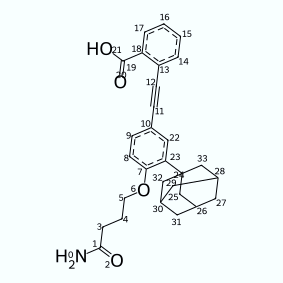 NC(=O)CCCOc1ccc(C#Cc2ccccc2C(=O)O)cc1C12CC3CC(CC(C3)C1)C2